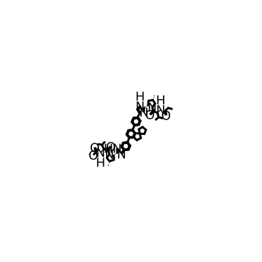 CCC(=O)N[C@H](C(=O)N1C[C@@H](C)C[C@H]1c1nc(-c2ccc(-c3ccc(-c4ccc5nc([C@@H]6C[C@H](C)CN6C(=O)[C@@H](NC(=O)OC)C(C)C)[nH]c5c4)c4c3C3(CCCC3)CC4)cc2)c[nH]1)C(C)C